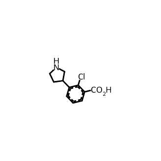 O=C(O)c1cccc(C2CCNC2)c1Cl